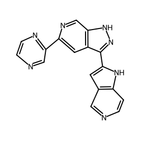 c1cnc(-c2cc3c(-c4cc5cnccc5[nH]4)n[nH]c3cn2)cn1